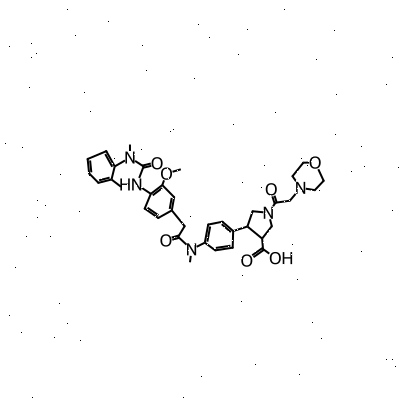 COc1cc(CC(=O)N(C)c2ccc(C3CN(C(=O)CN4CCOCC4)CC3C(=O)O)cc2)ccc1NC(=O)N(C)c1ccccc1C